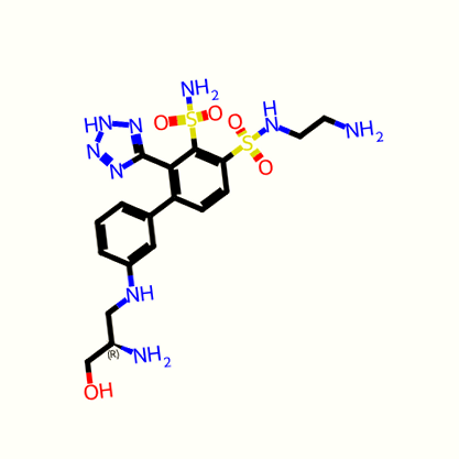 NCCNS(=O)(=O)c1ccc(-c2cccc(NC[C@@H](N)CO)c2)c(-c2nn[nH]n2)c1S(N)(=O)=O